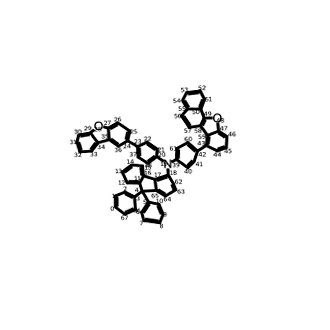 c1ccc(C2(c3ccccc3)c3ccccc3-c3c(N(c4ccc(-c5ccc6oc7ccccc7c6c5)cc4)c4ccc(-c5cccc6oc7c8ccccc8ccc7c56)cc4)cccc32)cc1